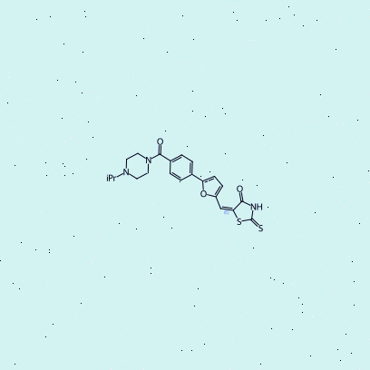 CC(C)N1CCN(C(=O)c2ccc(-c3ccc(/C=C4/SC(=S)NC4=O)o3)cc2)CC1